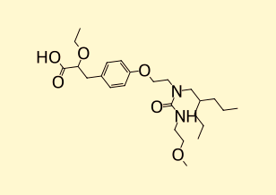 CCCC(CCC)CN(CCOc1ccc(CC(OCC)C(=O)O)cc1)C(=O)NCCOC